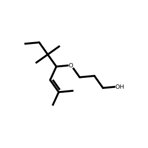 CCC(C)(C)C(C=C(C)C)OCCCO